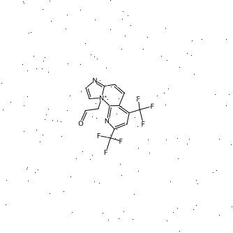 O=CC[N+]12C=CN=C1C=Cc1c(C(F)(F)F)cc(C(F)(F)F)nc12